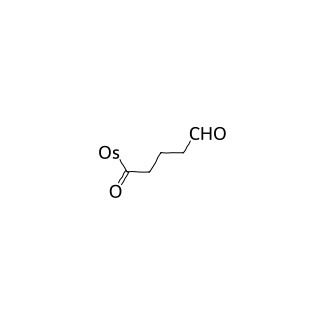 O=CCCC[C](=O)[Os]